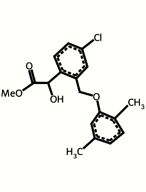 COC(=O)C(O)c1ccc(Cl)cc1COc1cc(C)ccc1C